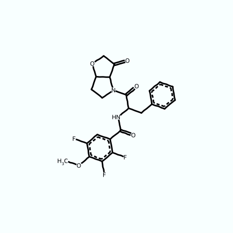 COc1c(F)cc(C(=O)NC(Cc2ccccc2)C(=O)N2CCC3OCC(=O)C32)c(F)c1F